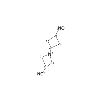 N#CC1CN(C2CC(N=O)C2)C1